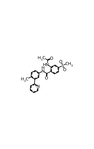 CC(=O)Nc1cc(S(C)(=O)=O)ccc1C(=O)Nc1ccc(C)c(-c2ccccn2)c1